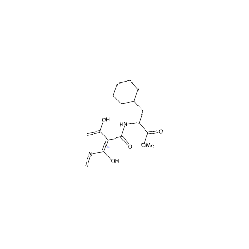 C=N/C(O)=C(\C(=C)O)C(=O)NC(CC1CCCCC1)C(=O)OC